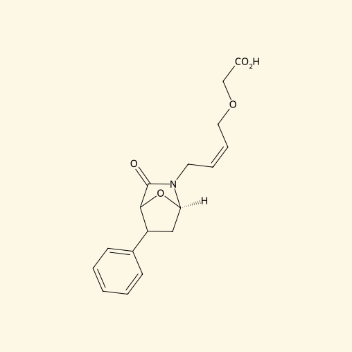 O=C(O)COC/C=C\CN1C(=O)C2O[C@@H]1CC2c1ccccc1